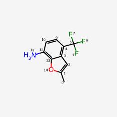 Cc1cc2c(C(F)(F)F)ccc(N)c2o1